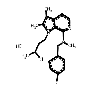 Cc1c(C)n(CCC(C)Cl)c2c(N(C)Cc3ccc(F)cc3)nccc12.Cl